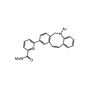 CNC(=O)c1cccc(-c2ccc3c(c2)C=Cc2ccccc2N(C(C)=O)C3)n1